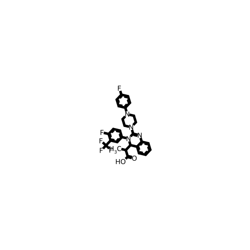 CC(C(=O)O)C1c2ccccc2N=C(N2CCN(c3ccc(F)cc3)CC2)N1c1ccc(F)c(C(F)(F)F)c1